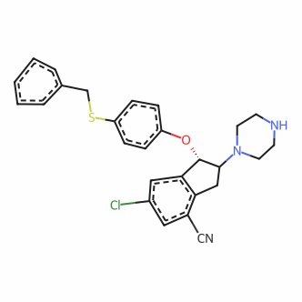 N#Cc1cc(Cl)cc2c1CC(N1CCNCC1)[C@H]2Oc1ccc(SCc2ccccc2)cc1